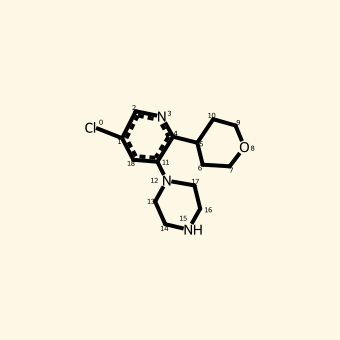 Clc1cnc(C2CCOCC2)c(N2CCNCC2)c1